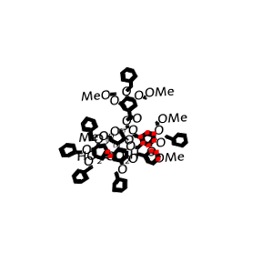 COCOc1cc(C(=O)OC[C@H]2O[C@H](OC)[C@@H](c3c(C(=O)O)cc(OCc4ccccc4)c(OCc4ccccc4)c3OCc3ccccc3)[C@@H](c3c(C(=O)O)cc(OCc4ccccc4)c(OCc4ccccc4)c3OCc3ccccc3)[C@H]2OC(=O)c2cc(OCOC)c(OCc3ccccc3)c(OCOC)c2)cc(OCOC)c1OCc1ccccc1